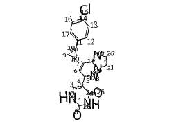 O=c1[nH]cc(-c2cc([C@@H]3C[C@H]3c3ccc(Cl)cc3)c3nccn3n2)c(=O)[nH]1